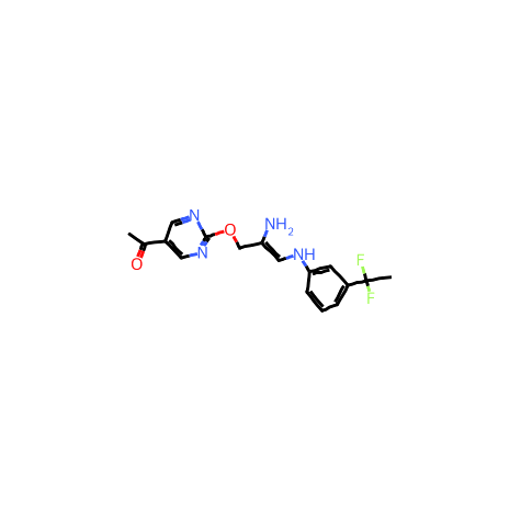 CC(=O)c1cnc(OC/C(N)=C/Nc2cccc(C(C)(F)F)c2)nc1